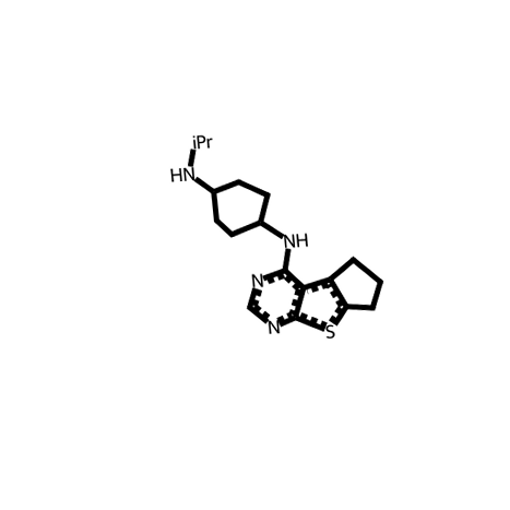 CC(C)NC1CCC(Nc2ncnc3sc4c(c23)CCC4)CC1